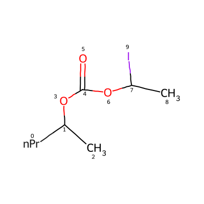 CCCC(C)OC(=O)OC(C)I